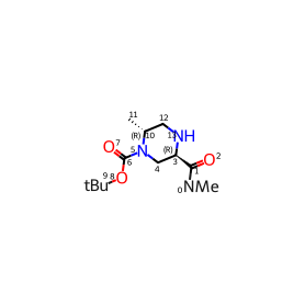 CNC(=O)[C@H]1CN(C(=O)OC(C)(C)C)[C@H](C)CN1